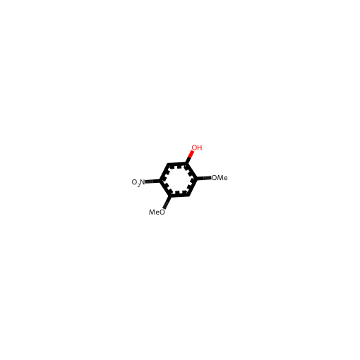 COc1cc(OC)c([N+](=O)[O-])cc1O